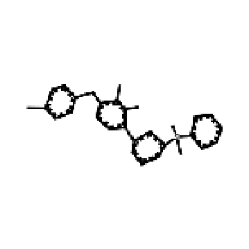 Cc1ccc(Cc2ccc(-c3cccc([Si](C)(C)c4ccccc4)c3)c(C)c2C)cc1